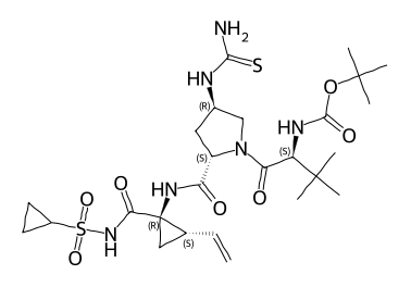 C=C[C@@H]1C[C@]1(NC(=O)[C@@H]1C[C@@H](NC(N)=S)CN1C(=O)[C@@H](NC(=O)OC(C)(C)C)C(C)(C)C)C(=O)NS(=O)(=O)C1CC1